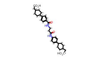 O=C(O)CC1CCC(c2ccc(NC(=O)CCNC(=O)c3ccc(C4CCC(CC(=O)O)CC4)cc3)cc2)CC1